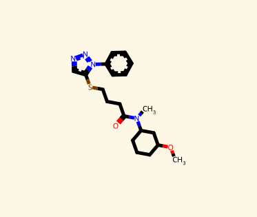 COC1CCCC(N(C)C(=O)CCCSc2cnnn2-c2ccccc2)C1